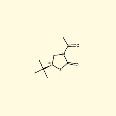 CC(=O)N1C[C@H](C(C)(C)C)SC1=O